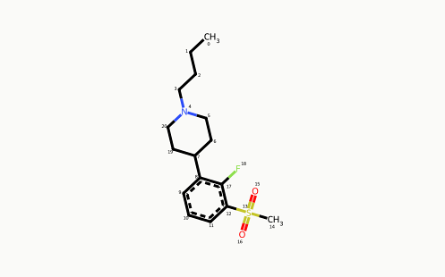 CCCCN1CCC(c2cccc(S(C)(=O)=O)c2F)CC1